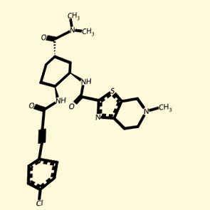 CN1CCc2nc(C(=O)N[C@@H]3C[C@@H](C(=O)N(C)C)CC[C@@H]3NC(=O)C#Cc3ccc(Cl)cc3)sc2C1